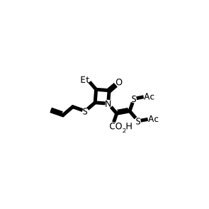 C=CCSC1C(CC)C(=O)N1C(C(=O)O)=C(SC(C)=O)SC(C)=O